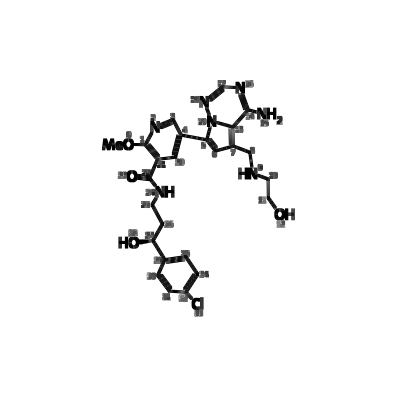 COc1ncc(-c2cc(CNCCO)c3c(N)ncnn23)cc1C(=O)NCC[C@H](O)c1ccc(Cl)cc1